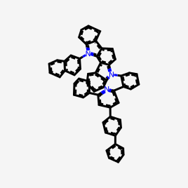 c1ccc(-c2ccc(-c3cc(-c4ccccc4)nc(-c4ccccc4-n4c5ccccc5c5c4ccc4c6ccccc6n(-c6ccc7ccccc7c6)c45)c3)cc2)cc1